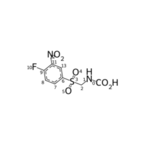 O=C(O)NCS(=O)(=O)c1ccc(F)c([N+](=O)[O-])c1